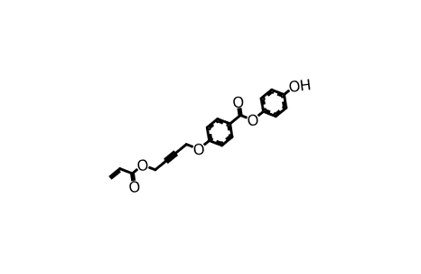 C=CC(=O)OCC#CCOc1ccc(C(=O)Oc2ccc(O)cc2)cc1